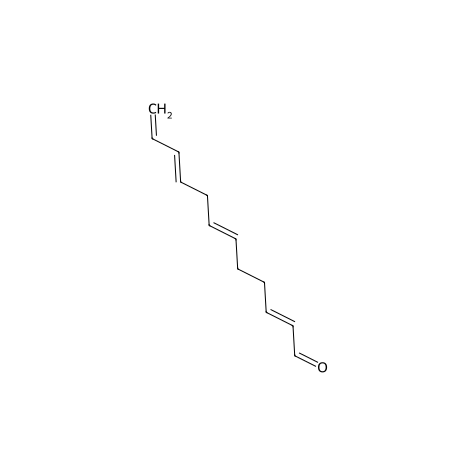 C=C/C=C/C/C=C/CC/C=C/C=O